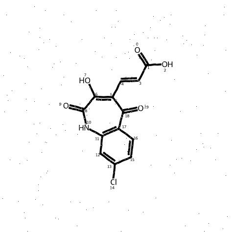 O=C(O)C=Cc1c(O)c(=O)[nH]c2cc(Cl)ccc2c1=O